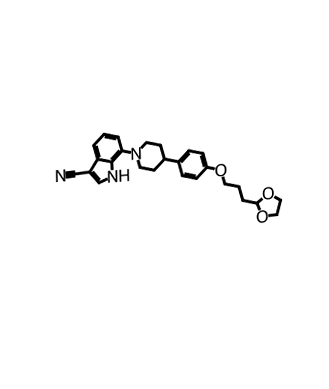 N#Cc1c[nH]c2c(N3CCC(c4ccc(OCCCC5OCCO5)cc4)CC3)cccc12